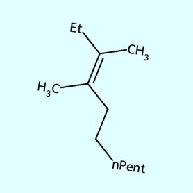 CCCCCCC/C(C)=C(\C)CC